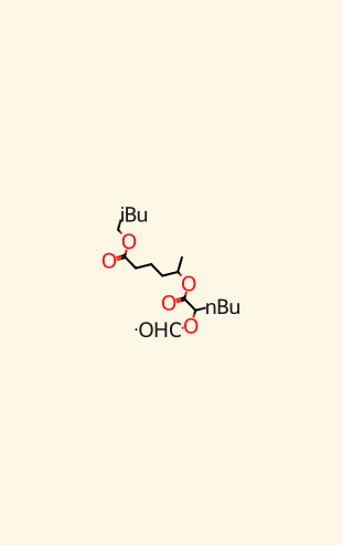 CCCCC(O[C]=O)C(=O)OC(C)CCCC(=O)OCC(C)CC